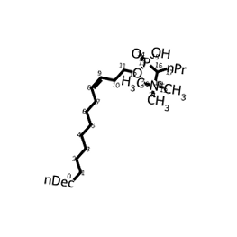 CCCCCCCCCCCCCCCCC/C=C\CCOP(=O)(O)C(CCC)[N+](C)(C)C